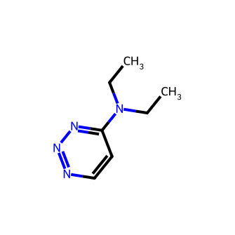 CCN(CC)c1ccnnn1